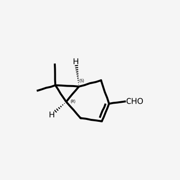 CC1(C)[C@@H]2CC=C(C=O)C[C@@H]21